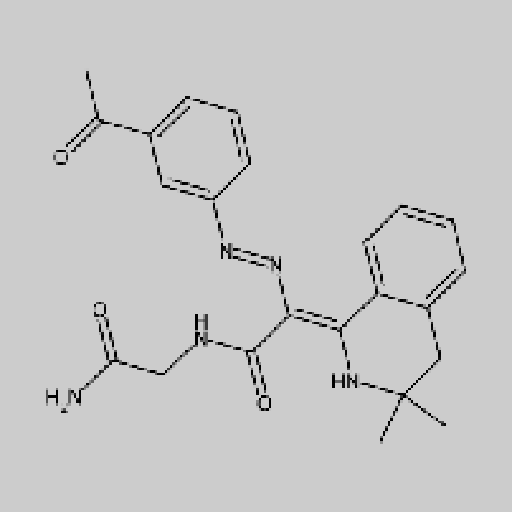 CC(=O)c1cccc(N=NC(C(=O)NCC(N)=O)=C2NC(C)(C)Cc3ccccc32)c1